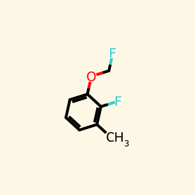 Cc1cccc(OCF)c1F